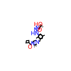 Cc1cc(CN2CCN(C(=O)C3CCC3)[C@@H](C)C2)c(C)c(Nc2nnc([C@@H](C)O)o2)c1